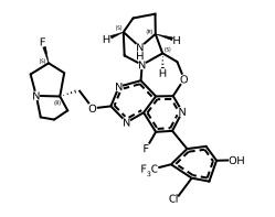 Oc1cc(Cl)c(C(F)(F)F)c(-c2nc3c4c(nc(OC[C@]56CCCN5C[C@@H](F)C6)nc4c2F)N2C[C@@H]4CC[C@@H](N4)[C@H]2CO3)c1